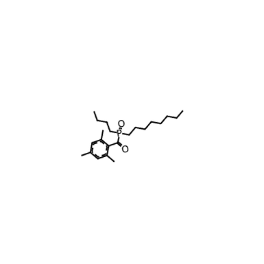 CCCCCCCCP(=O)(CCCC)C(=O)c1c(C)cc(C)cc1C